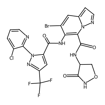 O=C(Nc1c(Br)cc2ccnn2c1C(=O)NC1CONC1=O)c1cc(C(F)(F)F)nn1-c1ncccc1Cl